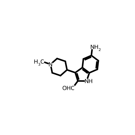 CN1CCC(c2c(C=O)[nH]c3ccc(N)cc23)CC1